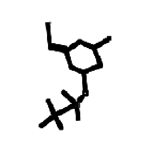 [CH2]C=C1CC(F)CC(O[Si](C)(C)C(C)(C)C)C1